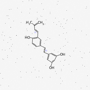 C=C(C)/C=C/c1cc(/C=C/c2cc(O)cc(O)c2)ccc1O